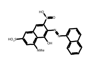 CNc1cc(S(=O)(=O)O)cc2cc(S(=O)O)c(N=Nc3cccc4ccccc34)c(O)c12